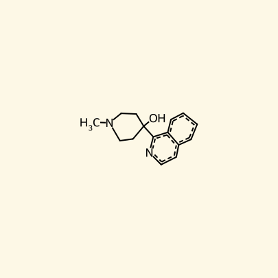 CN1CCC(O)(c2nccc3ccccc23)CC1